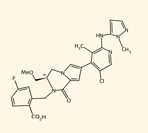 COC[C@H]1Cn2cc(-c3c(Cl)cnc(Nc4ccnn4C)c3C)cc2C(=O)N1Cc1cc(F)ccc1C(=O)O